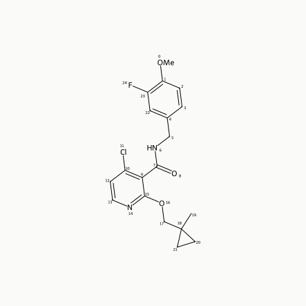 COc1ccc(CNC(=O)c2c(Cl)ccnc2OCC2(C)CC2)cc1F